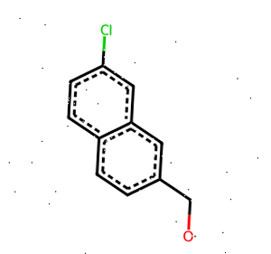 [O]Cc1ccc2ccc(Cl)cc2c1